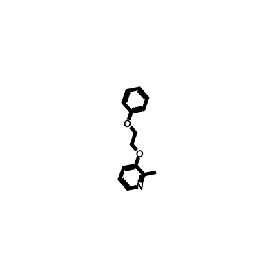 Cc1ncccc1OCCOc1ccccc1